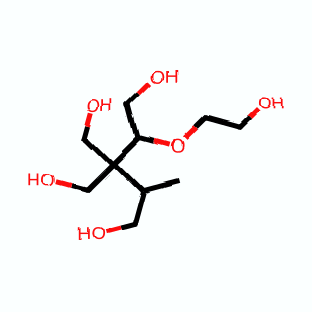 CC(CO)C(CO)(CO)C(CO)OCCO